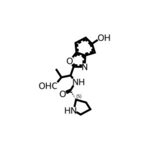 CC(C=O)C(NC(=O)[C@@H]1CCCN1)c1nc2cc(O)ccc2o1